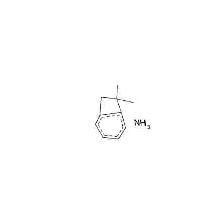 CC1(C)Cc2ccccc21.N